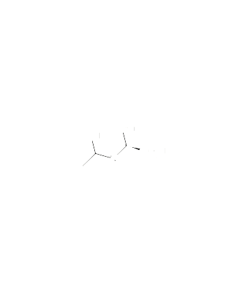 CC(S)N[C@H](C(=O)O)C(C)(C)C